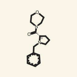 O=C([C@@H]1CCCN1Cc1ccccc1)N1CCOCC1